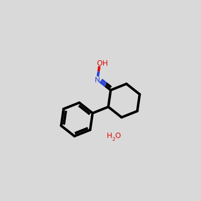 O.ON=C1CCCCC1c1ccccc1